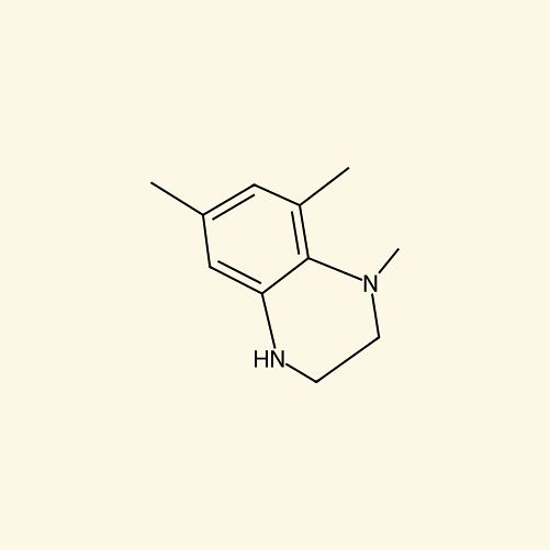 Cc1cc(C)c2c(c1)NCCN2C